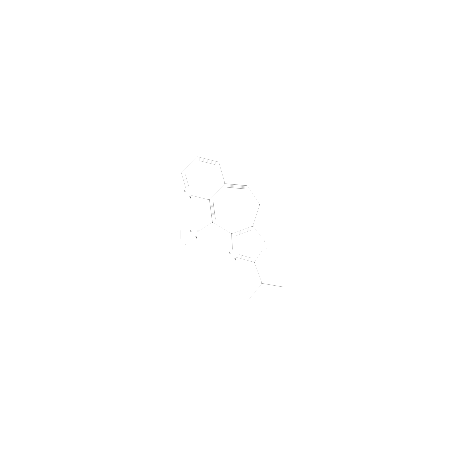 CC(C)c1nc2c(s1)CC=c1cccnc1=C2N